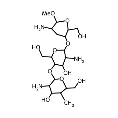 COC1OC(CO)C(OC2OC(CO)C(OC3OC(CO)C(C)C(O)C3N)C(O)C2N)CC1N